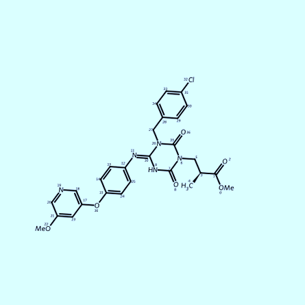 COC(=O)[C@@H](C)Cn1c(=O)[nH]/c(=N\c2ccc(Oc3cncc(OC)c3)cc2)n(Cc2ccc(Cl)cc2)c1=O